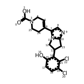 O=C(O)N1CC=C(c2cnc3n2CC(c2c(O)ccc(Cl)c2Cl)C3)CC1